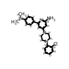 CN(C)c1ccc(-c2cc(N3CCN(c4ccccc4Cl)CC3)cc(N)n2)cc1